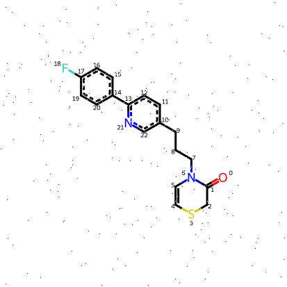 O=C1CSC=CN1CCCc1ccc(-c2ccc(F)cc2)nc1